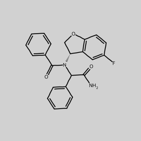 NC(=O)C(c1ccccc1)N(C(=O)c1ccccc1)[C@@H]1COc2ccc(F)cc21